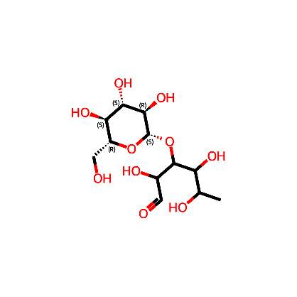 CC(O)C(O)C(O[C@@H]1O[C@H](CO)[C@@H](O)[C@H](O)[C@H]1O)C(O)C=O